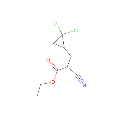 CCOC(=O)C(C#N)CC1CC1(Cl)Cl